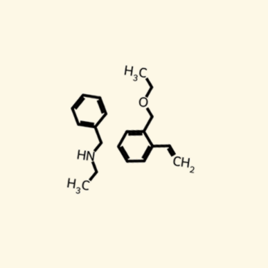 C=Cc1ccccc1COCC.CCNCc1ccccc1